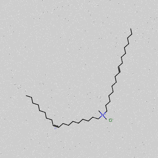 CCCCCCCCC=CCCCCCCCC[N+](C)(C)CCCCCCCC/C=C\CCCCCCCC.[Cl-]